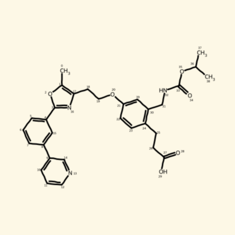 Cc1oc(-c2cccc(-c3cccnc3)c2)nc1CCOc1ccc(CCC(=O)O)c(CNC(=O)OC(C)C)c1